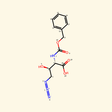 [N-]=[N+]=NC[C@@H](O)[C@H](NC(=O)OCc1ccccc1)C(=O)O